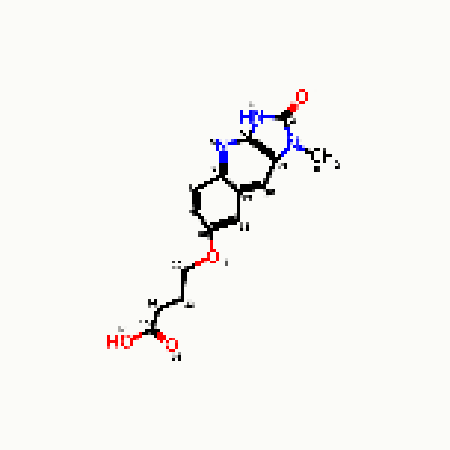 Cn1c(=O)[nH]c2nc3ccc(OCCCC(=O)O)cc3cc21